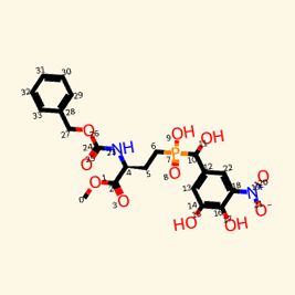 COC(=O)[C@H](CCP(=O)(O)C(O)c1cc(O)c(O)c([N+](=O)[O-])c1)NC(=O)OCc1ccccc1